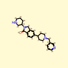 O=C1c2ccc(C3CCN(Cc4cccnc4)CC3)cc2CN1C1CCCNC1